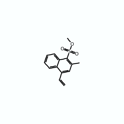 C=Cc1cc(C)c(S(=O)(=O)OC)c2ccccc12